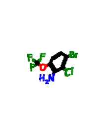 Nc1c(OC(F)(F)F)ccc(Br)c1Cl